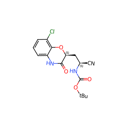 CC(C)(C)OC(=O)N[C@H](C#N)C[C@@H]1Oc2c(Cl)cccc2NC1=O